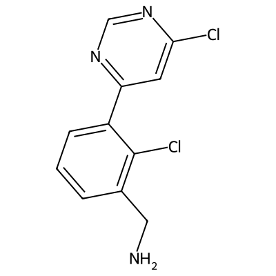 NCc1cccc(-c2cc(Cl)ncn2)c1Cl